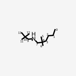 CCCCC(C)(C)CNCC(C)(C)C